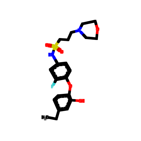 CCc1ccc(Oc2ccc(NS(=O)(=O)CCCN3CCOCC3)cc2F)c(O)c1